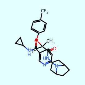 CC(C)(Oc1ccc(C(F)(F)F)cc1)C(=O)NC1CC2CCC(C1)N2c1ccc(C(=O)NC2CC2)cn1